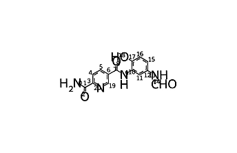 NC(=O)c1ccc(C(=O)Nc2cc(NC=O)ccc2O)cn1